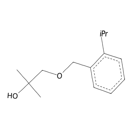 CC(C)c1ccccc1COCC(C)(C)O